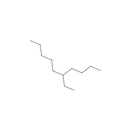 CCC[CH]CC(CC)CCCC